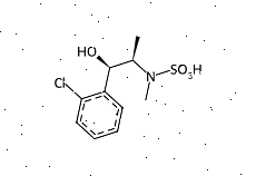 C[C@H]([C@H](O)c1ccccc1Cl)N(C)S(=O)(=O)O